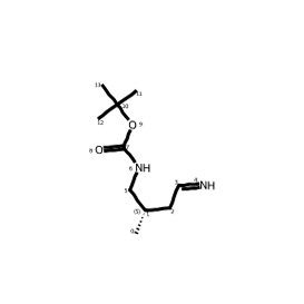 C[C@@H](CC=N)CNC(=O)OC(C)(C)C